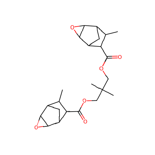 CC1C2CC(C3OC23)C1C(=O)OCC(C)(C)COC(=O)C1C(C)C2CC1C1OC21